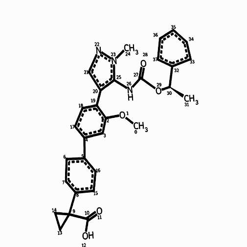 COc1cc(-c2ccc(C3(C(=O)O)CC3)cc2)ccc1-c1cnn(C)c1NC(=O)O[C@H](C)c1ccccc1